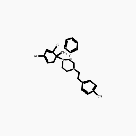 CC1(N2CCN(CCc3ccc(C#N)cc3)C[C@H]2c2ccccc2)CC=C(C#N)C=C1Cl